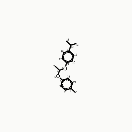 Cc1ccc(OC(C)Oc2ccc(C(C)C)cc2)cc1